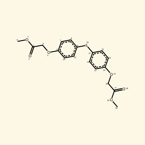 COC(=O)COc1ccc(Sc2ccc(OCC(=O)OC)cc2)cc1